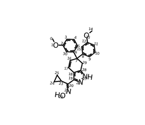 COc1cccc(C2(c3cccc(OC)c3)C=Cc3c(/C(=N/O)C4CC4)n[nH]c3C2)c1